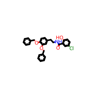 O=C(NCCc1ccc(OCc2ccccc2)c(OCc2ccccc2)c1)c1cc(Cl)ccc1O